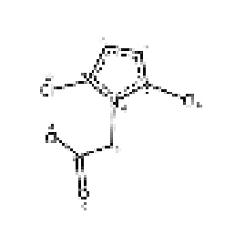 O=C(Cl)Cn1c(Cl)ccc1Cl